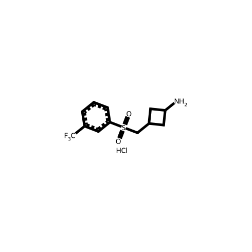 Cl.NC1CC(CS(=O)(=O)c2cccc(C(F)(F)F)c2)C1